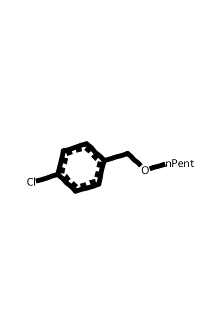 [CH2]CCCCOCc1ccc(Cl)cc1